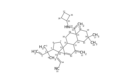 C=CC(C)(C)C1CCC23C(=CC(=C)C4C5CC(C)(C)CCC5(C(=C)NC5CCC5)CCC42)C13/C=C/C#N